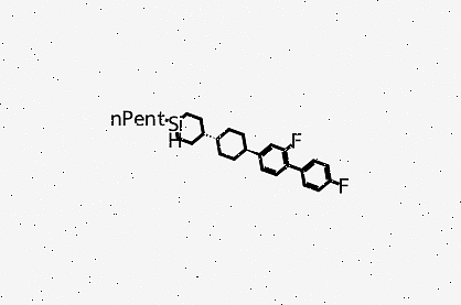 CCCCC[SiH]1CCC([C@H]2CC[C@H](c3ccc(-c4ccc(F)cc4)c(F)c3)CC2)CC1